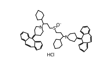 Cl.[O-][S+](CCC(C1CCCCC1)N1CCC(=C2c3ccccc3C=Cc3ccccc32)CC1)CCC(C1CCCCC1)N1CCC(=C2c3ccccc3C=Cc3ccccc32)CC1